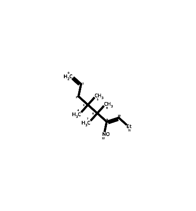 C=CCC(C)(C)C(C)(C)/C(=C/CC)N=O